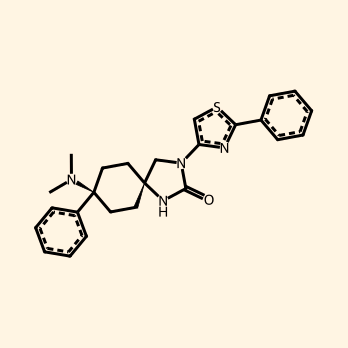 CN(C)[C@]1(c2ccccc2)CC[C@@]2(CC1)CN(c1csc(-c3ccccc3)n1)C(=O)N2